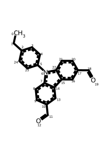 CCc1ccc(-n2c3ccc(C=O)cc3c3cc(C=O)ccc32)cc1